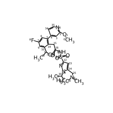 COc1cc(-c2cc(F)cc(C(C)C)c2CC(=O)NS(=O)(=O)c2cc(CN(C)C)n(C(C)C)n2)ccn1